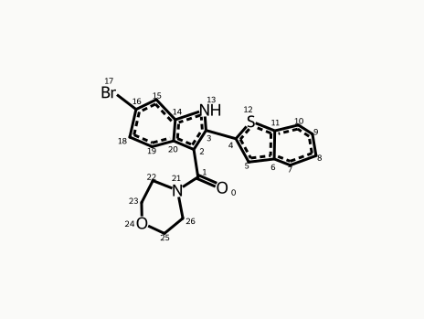 O=C(c1c(-c2cc3ccccc3s2)[nH]c2cc(Br)ccc12)N1CCOCC1